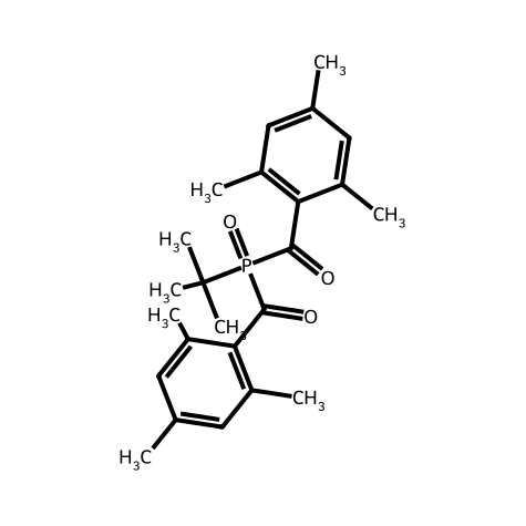 Cc1cc(C)c(C(=O)P(=O)(C(=O)c2c(C)cc(C)cc2C)C(C)(C)C)c(C)c1